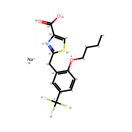 CCCCOc1ccc(C(F)(F)F)cc1Cc1nc(C(=O)[O-])cs1.[Na+]